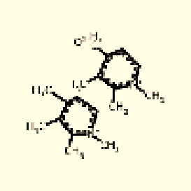 Cc1cc[n+](C)c(C)c1C.Cc1cc[n+](C)c(C)c1C.[O-2]